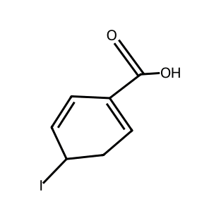 O=C(O)C1=CCC(I)C=C1